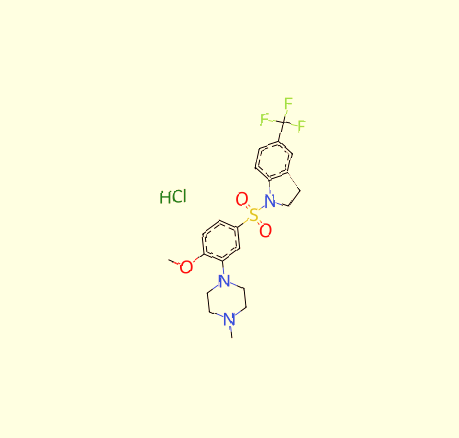 COc1ccc(S(=O)(=O)N2CCc3cc(C(F)(F)F)ccc32)cc1N1CCN(C)CC1.Cl